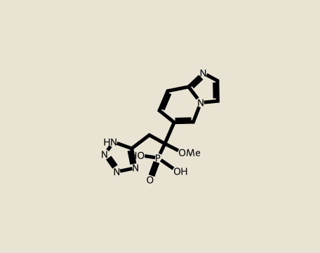 COC(Cc1nnn[nH]1)(c1ccc2nccn2c1)P(=O)(O)O